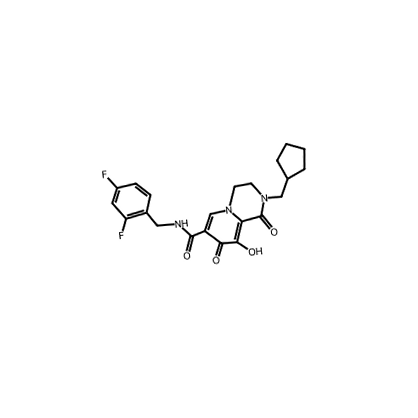 O=C(NCc1ccc(F)cc1F)c1cn2c(c(O)c1=O)C(=O)N(CC1CCCC1)CC2